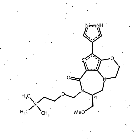 COC[C@@H]1CN2CCOc3c(-c4cn[nH]c4)sc(c32)C(=O)N1COCC[Si](C)(C)C